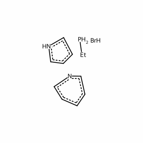 Br.CCP.c1cc[nH]c1.c1ccncc1